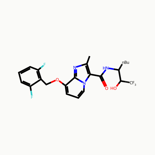 CCCCC(NC(=O)c1c(C)nc2c(OCc3c(F)cccc3F)cccn12)C(O)C(F)(F)F